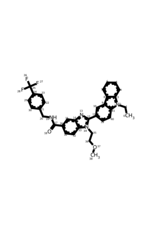 CCn1c2ccccc2c2cc(-c3nc4cc(C(=O)NCc5ccc(C(F)(F)F)cc5)ccc4n3CCOC)ccc21